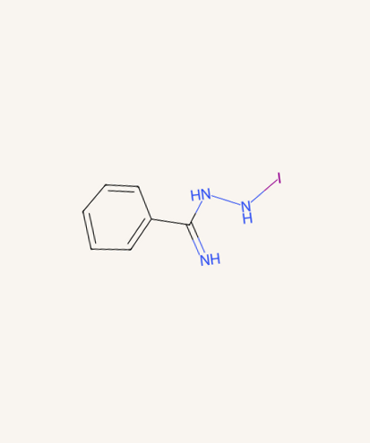 N=C(NNI)c1ccccc1